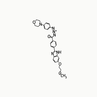 COCCOc1ccc2nc(-c3ccc(C(=O)N=[N+]=Nc4ccc(N5CCOCC5)cc4)cc3)[nH]c2c1